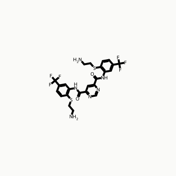 NCCSc1ccc(C(F)(F)F)cc1NC(=O)c1cc(C(=O)Nc2cc(C(F)(F)F)ccc2SCCN)ncn1